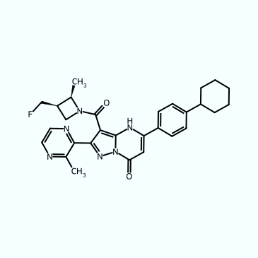 Cc1nccnc1-c1nn2c(=O)cc(-c3ccc(C4CCCCC4)cc3)[nH]c2c1C(=O)N1C[C@@H](CF)[C@H]1C